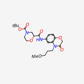 COCCCN1C(=O)COc2ccc(NC(=O)C3CN(C(=O)OC(C)(C)C)CCO3)cc21